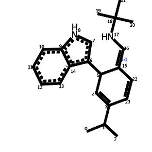 CC(C)C1=CC(c2c[nH]c3ccccc23)/C(=C\NC(C)(C)C)C=C1